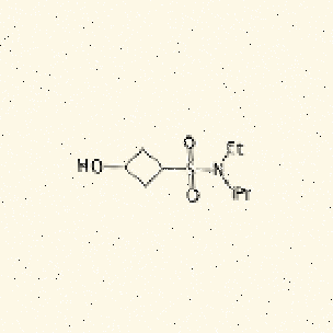 CCN(C(C)C)S(=O)(=O)C1CC(O)C1